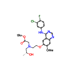 COc1cc2ncnc(Nc3ccc(F)c(Cl)c3)c2cc1OCCN(CC(=O)OC(C)(C)C)C[C@@H](C)O